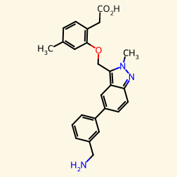 Cc1ccc(CC(=O)O)c(OCc2c3cc(-c4cccc(CN)c4)ccc3nn2C)c1